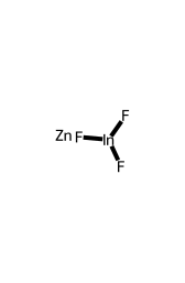 [F][In]([F])[F].[Zn]